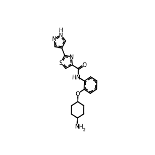 N[C@H]1CC[C@@H](Oc2ccccc2NC(=O)c2csc(-c3cn[nH]c3)n2)CC1